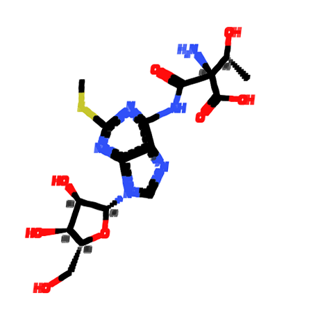 CSc1nc(NC(=O)[C@@](N)(C(=O)O)[C@@H](C)O)c2ncn([C@@H]3O[C@H](CO)[C@@H](O)[C@H]3O)c2n1